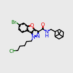 CC1(C)C2CCC(CNC(=O)c3nn(CCCCCCl)c4c3oc3cc(Br)ccc34)C1C2